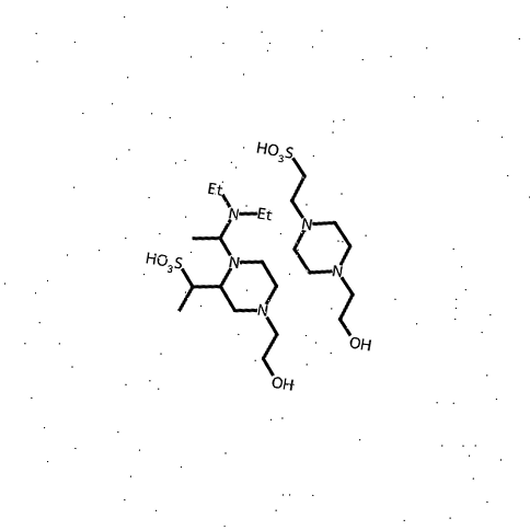 CCN(CC)C(C)N1CCN(CCO)CC1C(C)S(=O)(=O)O.O=S(=O)(O)CCN1CCN(CCO)CC1